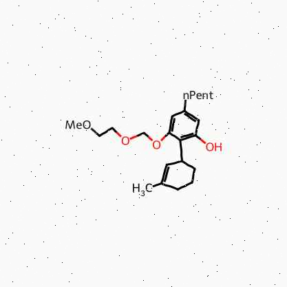 CCCCCc1cc(O)c(C2C=C(C)CCC2)c(OCOCCOC)c1